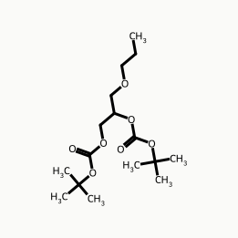 CCCOCC(COC(=O)OC(C)(C)C)OC(=O)OC(C)(C)C